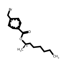 CCCCCC[C@@H](C)OC(=O)c1ccc(CBr)cc1